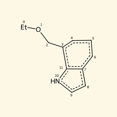 CCOCc1cccc2cc[nH]c12